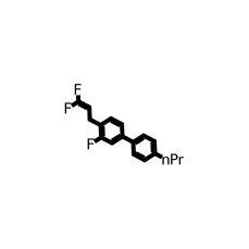 CCCc1ccc(-c2ccc(CC=C(F)F)c(F)c2)cc1